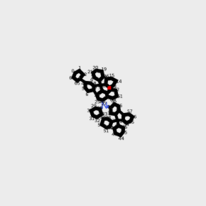 c1ccc(-c2ccc3c(c2)C(c2ccccc2)(c2ccccc2)c2c-3cc(N(c3ccccc3)c3ccc4c(c3)C(c3ccccc3)(c3ccccc3)c3ccccc3-4)c3ccccc23)cc1